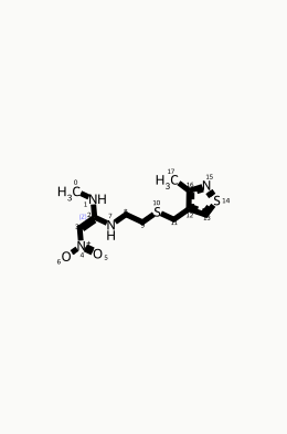 CN/C(=C/[N+](=O)[O-])NCCSCc1csnc1C